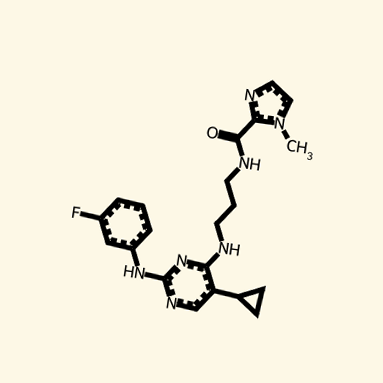 Cn1ccnc1C(=O)NCCCNc1nc(Nc2cccc(F)c2)ncc1C1CC1